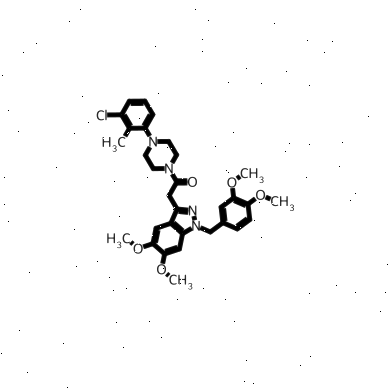 COc1ccc(Cn2nc(CC(=O)N3CCN(c4cccc(Cl)c4C)CC3)c3cc(OC)c(OC)cc32)cc1OC